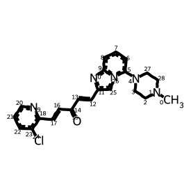 CN1CCN(c2cccc3nc(/C=C/C(=O)/C=C/c4ncccc4Cl)cn23)CC1